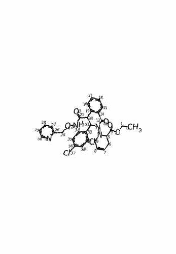 CCOC(=O)C1CC=CCN1N1C(=O)c2ccccc2C(C(=O)NOCc2ccccn2)C1c1ccc(Cl)cc1Cl